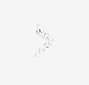 Cc1cc(Nc2nc(Nc3cc(C)c(C(C)NCCN(C)C)cc3C)ncc2Cl)n[nH]1